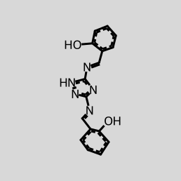 Oc1ccccc1C=Nc1n[nH]c(N=Cc2ccccc2O)n1